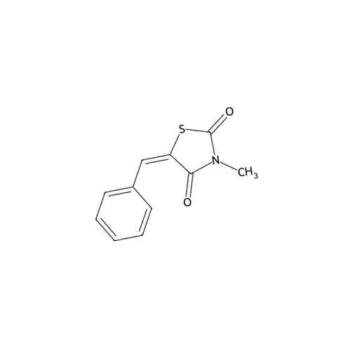 CN1C(=O)S/C(=C/c2ccccc2)C1=O